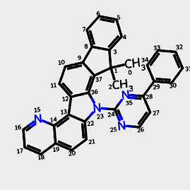 CC1(C)c2ccccc2-c2ccc3c4c5ncccc5ccc4n(-c4nccc(-c5ccccc5)n4)c3c21